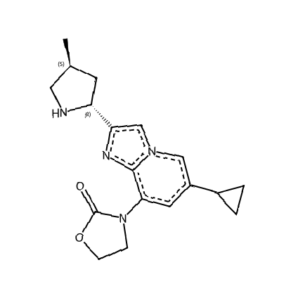 C[C@@H]1CN[C@@H](c2cn3cc(C4CC4)cc(N4CCOC4=O)c3n2)C1